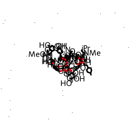 CN[C@H](CC(C)C)C(=O)N[C@H]1C(=O)N[C@@H](CC(N)=O)C(=O)N[C@H]2C(=O)N[C@H]3C(=O)N[C@H](C(=O)N[C@@H](C(=O)NOC)c4cc(O)cc(O)c4-c4cc3ccc4O)[C@H](O)c3ccc(c(Cl)c3)Oc3cc2cc(c3O[C@@H]2O[C@H](CO)[C@@H](O)[C@H](O)[C@H]2O[C@H]2C[C@](C)(NCCn3ccc(NC(=O)CC4CCC(C)CC4)nc3=O)[C@H](O)[C@H](C)O2)Oc2ccc(cc2Cl)[C@H]1O